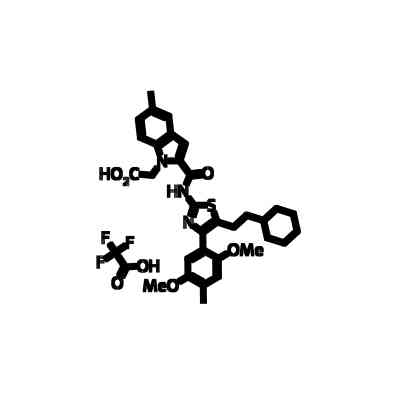 COc1cc(-c2nc(NC(=O)c3cc4cc(C)ccc4n3CC(=O)O)sc2CCC2CCCCC2)c(OC)cc1C.O=C(O)C(F)(F)F